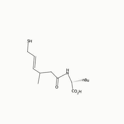 CCCC[C@@H](NC(=O)CC(C)/C=C/CS)C(=O)O